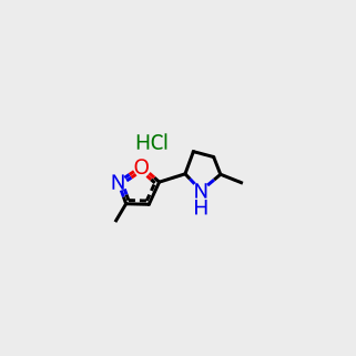 Cc1cc(C2CCC(C)N2)on1.Cl